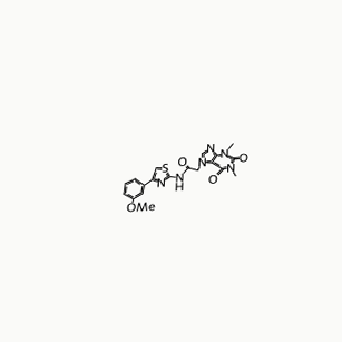 COc1cccc(-c2csc(NC(=O)Cn3cnc4c3c(=O)n(C)c(=O)n4C)n2)c1